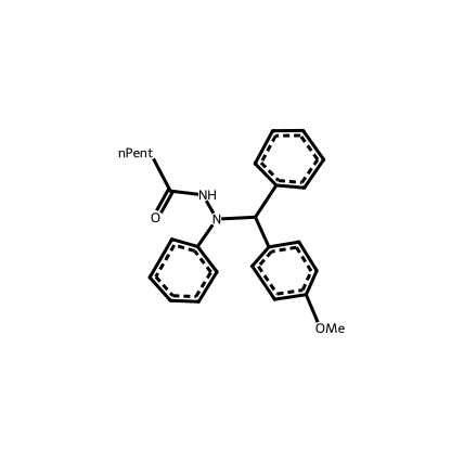 CCCCCC(=O)NN(c1ccccc1)C(c1ccccc1)c1ccc(OC)cc1